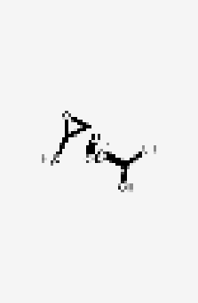 C=C.CC1CO1.O=C(O)O